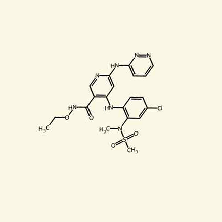 CCONC(=O)c1cnc(Nc2cccnn2)cc1Nc1ccc(Cl)cc1N(C)S(C)(=O)=O